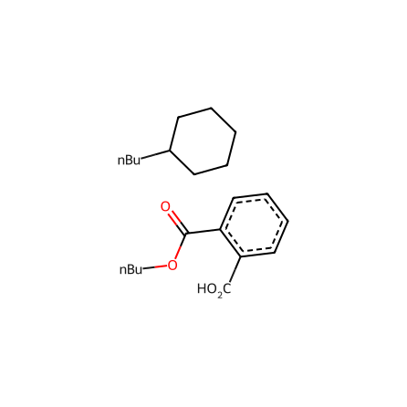 CCCCC1CCCCC1.CCCCOC(=O)c1ccccc1C(=O)O